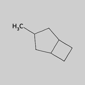 CC1CC2CCC2C1